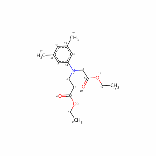 CCOC(=O)CCN(CC(=O)OCC)c1cc(C)cc(C)c1